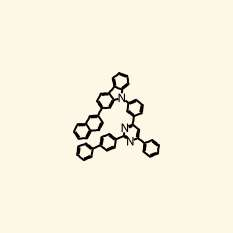 c1ccc(-c2ccc(-c3nc(-c4ccccc4)cc(-c4cccc(-n5c6ccccc6c6ccc(-c7ccc8ccccc8c7)cc65)c4)n3)cc2)cc1